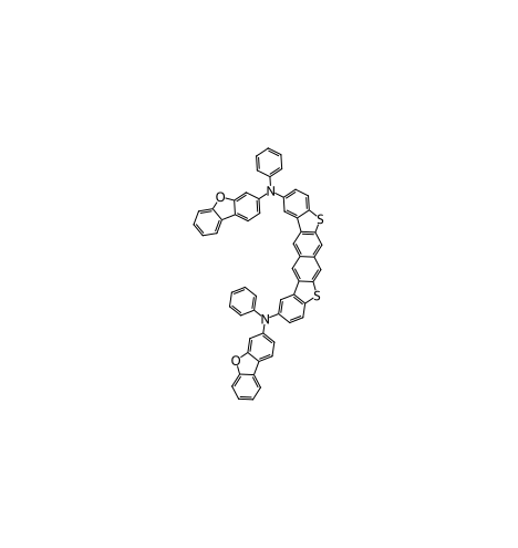 c1ccc(N(c2ccc3c(c2)oc2ccccc23)c2ccc3sc4cc5cc6sc7ccc(N(c8ccccc8)c8ccc9c(c8)oc8ccccc89)cc7c6cc5cc4c3c2)cc1